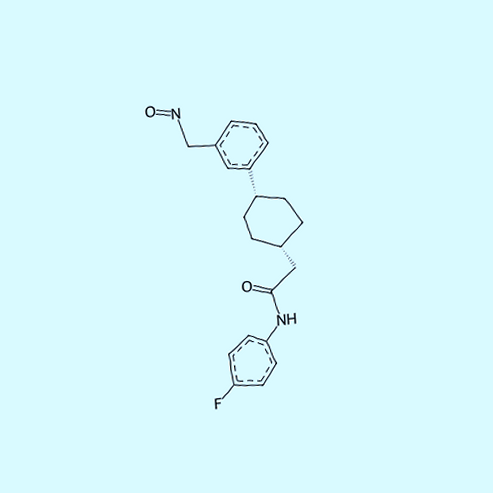 O=NCc1cccc([C@H]2CC[C@@H](CC(=O)Nc3ccc(F)cc3)CC2)c1